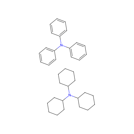 C1CCC(N(C2CCCCC2)C2CCCCC2)CC1.c1ccc(N(c2ccccc2)c2ccccc2)cc1